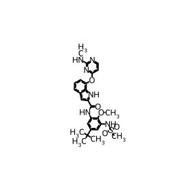 CNc1nccc(Oc2cccc3cc(C(=O)Nc4cc(C(C)(C)C)cc(NS(C)(=O)=O)c4OC)[nH]c23)n1